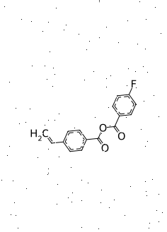 C=Cc1ccc(C(=O)OC(=O)c2ccc(F)cc2)cc1